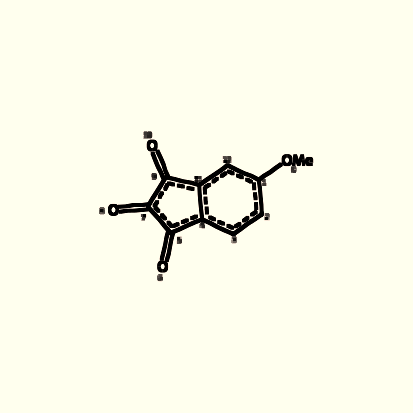 COc1ccc2c(=O)c(=O)c(=O)c2c1